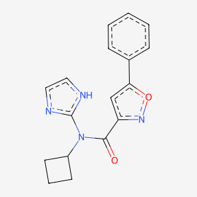 O=C(c1cc(-c2ccccc2)on1)N(c1ncc[nH]1)C1CCC1